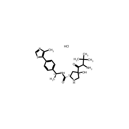 Cc1ncsc1-c1ccc([C@H](C)NC(=O)[C@@H]2C[C@](O)(C(=O)C(N)C(C)(C)C)CN2)cc1.Cl